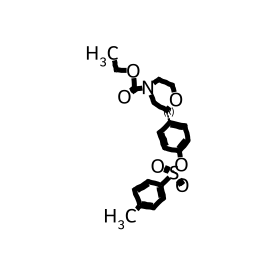 CCOC(=O)N1CCO[C@H](c2ccc(OS(=O)(=O)c3ccc(C)cc3)cc2)C1